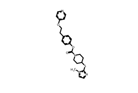 Cn1ccnc1SC1CCN(C(=O)Oc2ccc(CCOc3ccncc3)cc2)CC1